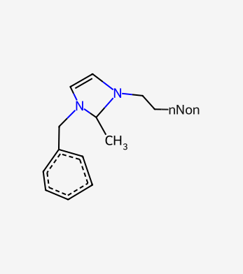 CCCCCCCCCCCN1C=CN(Cc2ccccc2)C1C